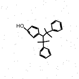 CC(C)(c1ccccc1)C(c1ccc(O)cc1)C(C)(C)c1ccccc1